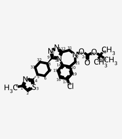 Cc1csc([C@H]2CC[C@H](c3nnc4n3-c3ccc(Cl)cc3CN(OC(=O)OC(C)(C)C)C4)CC2)n1